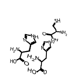 NC(CS)C(=O)O.NC(Cc1c[nH]cn1)C(=O)O.NC(Cc1c[nH]cn1)C(=O)O